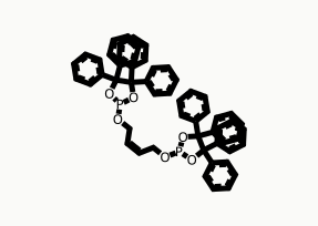 C(=C/COP1OC(c2ccccc2)(c2ccccc2)C(c2ccccc2)(c2ccccc2)O1)/COP1OC(c2ccccc2)(c2ccccc2)C(c2ccccc2)(c2ccccc2)O1